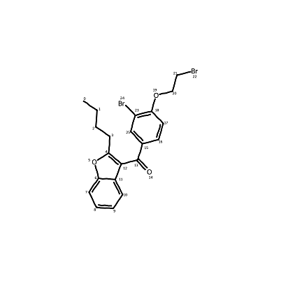 CCCCc1oc2ccccc2c1C(=O)c1ccc(OCCBr)c(Br)c1